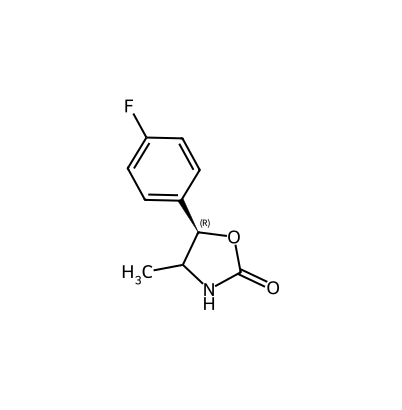 CC1NC(=O)O[C@@H]1c1ccc(F)cc1